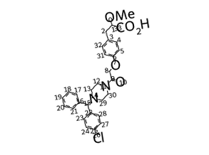 COC(Cc1ccc(OCC(=O)N2CCN(C(c3ccccc3)c3ccc(Cl)cc3)CC2)cc1)C(=O)O